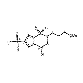 COCCCN1C[C@H](O)c2cc(S(N)(=O)=O)sc2S1(=O)=O